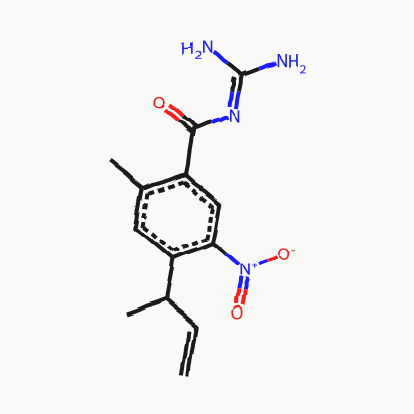 C=CC(C)c1cc(C)c(C(=O)N=C(N)N)cc1[N+](=O)[O-]